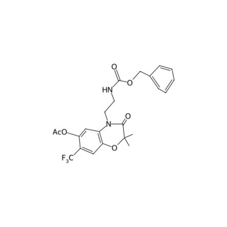 CC(=O)Oc1cc2c(cc1C(F)(F)F)OC(C)(C)C(=O)N2CCNC(=O)OCc1ccccc1